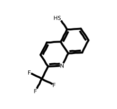 FC(F)(F)c1ccc2c(S)cccc2n1